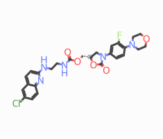 O=C(NCCNc1ccc2cc(Cl)ccc2n1)OC[C@@H]1CN(c2ccc(N3CCOCC3)c(F)c2)C(=O)O1